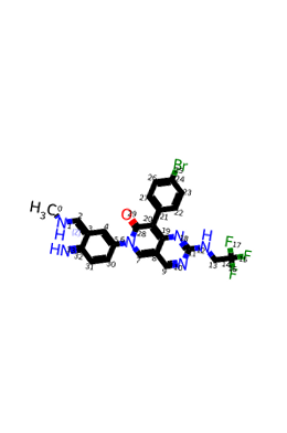 CN/C=C1/C=C(n2cc3cnc(NCC(F)(F)F)nc3c(-c3ccc(Br)cc3)c2=O)C=CC1=N